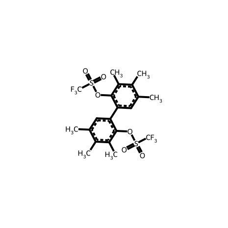 Cc1cc(-c2cc(C)c(C)c(C)c2OS(=O)(=O)C(F)(F)F)c(OS(=O)(=O)C(F)(F)F)c(C)c1C